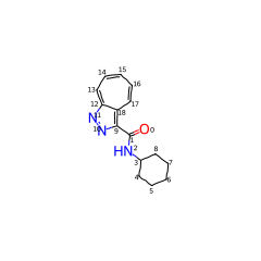 O=C(NC1CCCCC1)c1nnc2cccccc1-2